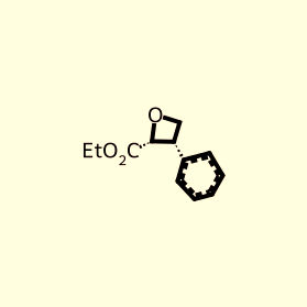 CCOC(=O)[C@@H]1OC[C@@H]1c1ccccc1